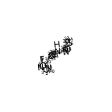 Cc1ccc2ncc(F)c(CCC34CCC(NCc5cc(-c6cccs6)on5)(CC3)CO4)c2n1